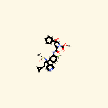 CC(C)(C)OC(=O)N1CC(O)(c2ccccc2)CC1C(=O)Nc1cc(C(CCC2CC2)(N[S+]([O-])C(C)(C)C)c2ccncc2)ccc1F